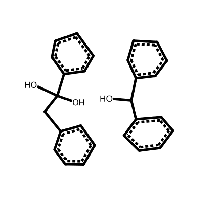 OC(O)(Cc1ccccc1)c1ccccc1.OC(c1ccccc1)c1ccccc1